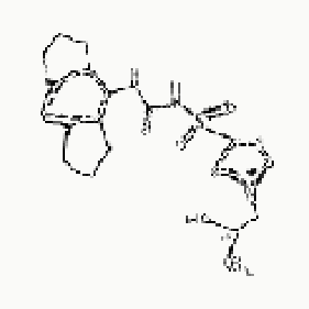 C[C@@H](O)Cn1cnc(S(=O)(=O)NC(=O)Nc2c3c(cc4c2CCC4)CCC3)n1